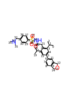 CC(C)c1cc(-c2ccc3c(c2)COC3)cc(C(C)C)c1CC(=O)NS(=O)(=O)c1ccc(CN(C)C)cc1